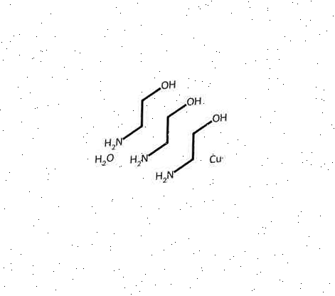 NCCO.NCCO.NCCO.O.[Cu]